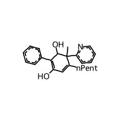 CCCCCC1=CC(O)=C(c2ccccc2)C(O)C1(C)c1ccccn1